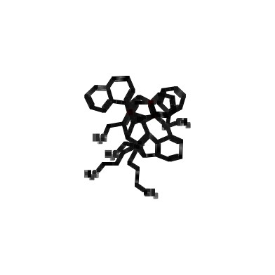 CCC[CH2][Zr]1([CH2]CCC)[CH]2C(CC)=C(c3cccc4ccccc34)c3c2cccc3[Si](C)(c2ccccc2)c2cccc3c2C(c2cccc4ccccc24)=C(CC)[CH]31